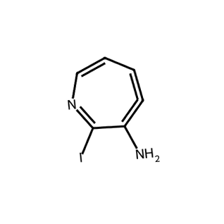 NC1=C=CC=CN=C1I